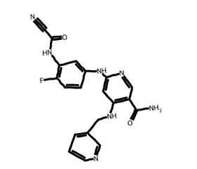 N#CC(=O)Nc1cc(Nc2cc(NCc3cccnc3)c(C(N)=O)cn2)ccc1F